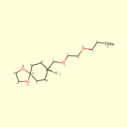 COCCOCCOCC1(F)CCC2(CC1)OCCO2